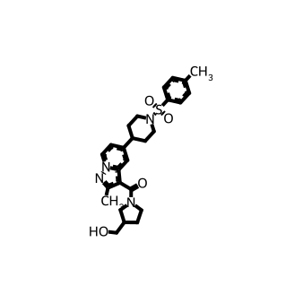 Cc1ccc(S(=O)(=O)N2CCC(c3ccn4nc(C)c(C(=O)N5CCC(CO)C5)c4c3)CC2)cc1